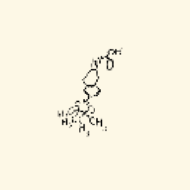 CC1(C)OB(c2ccc3c(c2)CCC(NC(=O)O)C3)OC1(C)C